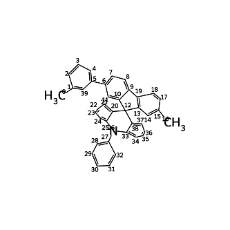 Cc1cccc(-c2ccc3c(c2)C2(c4cc(C)ccc4-3)c3ccccc3N(c3ccccc3)c3ccccc32)c1